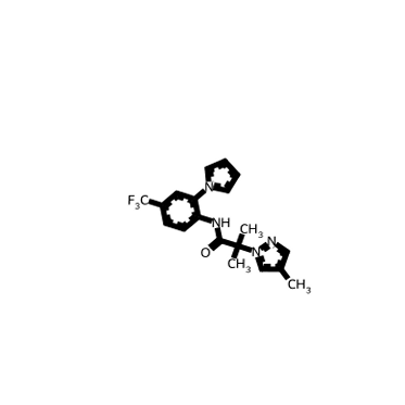 Cc1cnn(C(C)(C)C(=O)Nc2ccc(C(F)(F)F)cc2-n2cccc2)c1